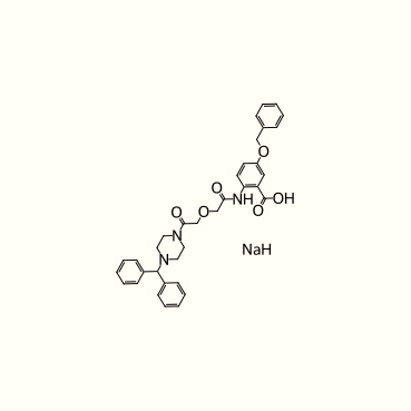 O=C(COCC(=O)N1CCN(C(c2ccccc2)c2ccccc2)CC1)Nc1ccc(OCc2ccccc2)cc1C(=O)O.[NaH]